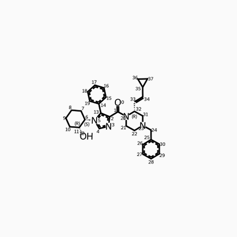 O=C(c1ncn([C@H]2CCCC[C@H]2O)c1-c1ccccc1)N1CCN(Cc2ccccc2)C[C@H]1C=CC1CC1